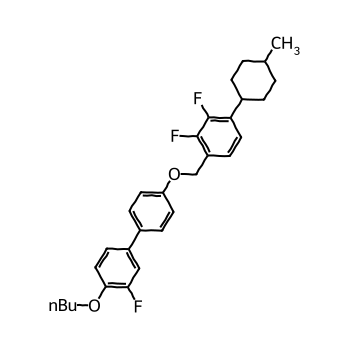 CCCCOc1ccc(-c2ccc(OCc3ccc(C4CCC(C)CC4)c(F)c3F)cc2)cc1F